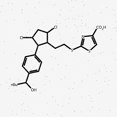 CCCCC(O)c1ccc(C2C(Cl)CC(Cl)C2CCSc2nc(C(=O)O)cs2)cc1